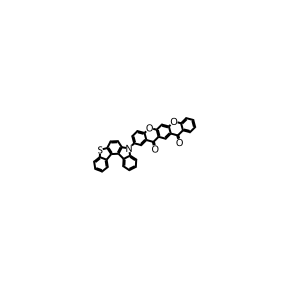 O=c1c2ccccc2oc2cc3oc4ccc(-n5c6ccccc6c6c7c(ccc65)sc5ccccc57)cc4c(=O)c3cc12